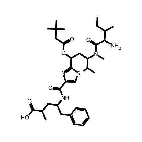 CCC(C)C(N)C(=O)N(C)C(CC(OC(=O)CC(C)(C)C)c1nc(C(=O)NC(Cc2ccccc2)CC(C)C(=O)O)cs1)C(C)C